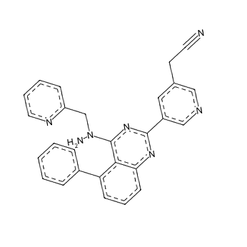 N#CCc1cncc(-c2nc(N(N)Cc3ccccn3)c3c(-c4ccccc4)cccc3n2)c1